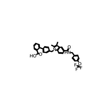 Cc1c(C)n(Cc2ccc(-c3ccccc3C(=O)O)cc2)c2ccc(C(=O)NCc3ccc(OC(F)(F)F)cc3)cc12